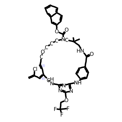 C=C(Cl)/C=C1\C=C/COCCCN(C(=O)Oc2ccc3ccccc3c2)CC(C)(C)CNC(=O)c2ccc(cc2)Nc2nc(nc(OCC(F)(F)F)n2)NC1